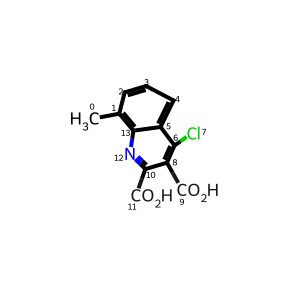 Cc1cccc2c(Cl)c(C(=O)O)c(C(=O)O)nc12